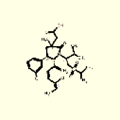 C=C(/C=C\C(Cl)=C/C)[C@@H]1[C@@H](c2cccc(Cl)c2)C[C@](C)(CC(=O)O)C(=O)N1[C@H](CS(=O)(=O)C(C)C)C(C)C